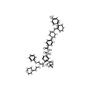 O=C(NS(=O)(=O)c1ccc(N[C@H](CCCN2CCOCC2)CSc2ccccc2)c(S(=O)(=O)C(F)(F)F)c1)c1ccc(N2CCN(CC3=C(c4ccc(Cl)cc4)CCCC3)CC2)cc1